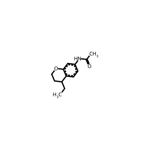 CCC1CCOc2cc(NC(C)=O)ccc21